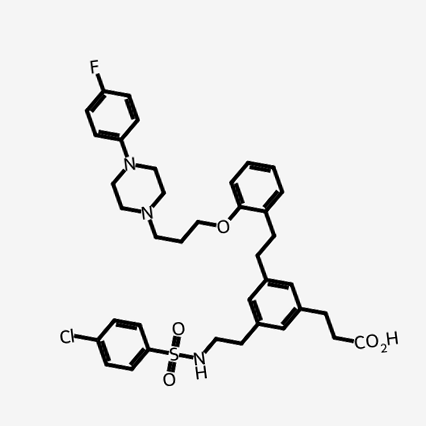 O=C(O)CCc1cc(CCNS(=O)(=O)c2ccc(Cl)cc2)cc(CCc2ccccc2OCCCN2CCN(c3ccc(F)cc3)CC2)c1